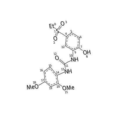 CCS(=O)(=O)c1ccc(O)c(NC(=O)Nc2ccc(OC)cc2OC)c1